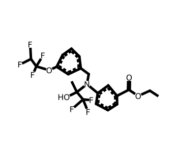 CCOC(=O)c1cccc(N(Cc2cccc(OC(F)(F)C(F)F)c2)C(C)(O)C(F)(F)F)c1